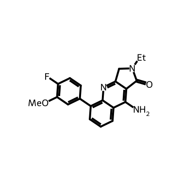 CCN1Cc2nc3c(-c4ccc(F)c(OC)c4)cccc3c(N)c2C1=O